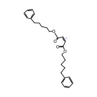 O=C(/C=C\C(=O)OCCCCCc1ccccc1)OCCCCCc1ccccc1